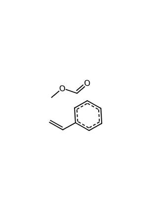 C=Cc1ccccc1.COC=O